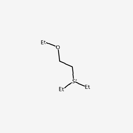 CCOCC[S+](CC)CC